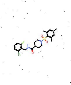 Cc1cc(C)c(S(=O)(=O)N2CCC(C(=O)NCc3c(F)cccc3Cl)CC2)c(C)c1